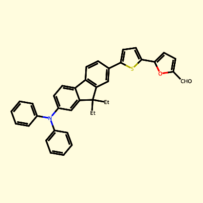 CCC1(CC)c2cc(-c3ccc(-c4ccc(C=O)o4)s3)ccc2-c2ccc(N(c3ccccc3)c3ccccc3)cc21